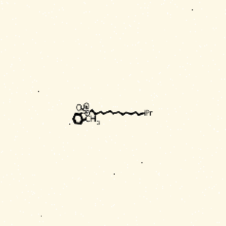 Cc1ccccc1S(=O)(=O)OCCCCCCCCCCCCC(C)C